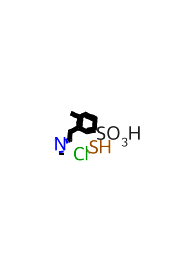 Cc1ccc(S(=O)(=O)O)cc1CCN(C)C.SCl